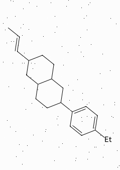 CC=CC1CCC2CC(c3ccc(CC)cc3)CCC2C1